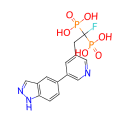 O=P(O)(O)C(F)(Cc1cncc(-c2ccc3[nH]ncc3c2)c1)P(=O)(O)O